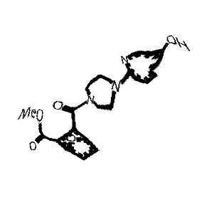 COC(=O)c1c(C(=O)N2CCN(c3ccc(O)cn3)CC2)c2ccc1o2